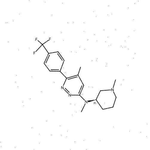 Cc1cc(N(C)[C@@H]2CCCN(C)C2)nnc1-c1ccc(C(F)(F)F)cc1